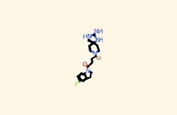 N=C1NCC2(CCN(C(=O)CCC(=O)N3CCc4cc(F)ccc43)CC2)N1